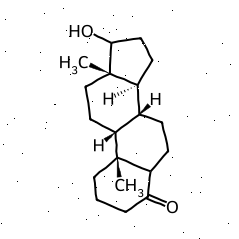 C[C@]12CCCC(=O)C1CC[C@@H]1[C@H]2CC[C@]2(C)C(O)CC[C@@H]12